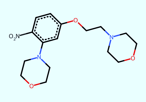 O=[N+]([O-])c1ccc(OCCN2CCOCC2)cc1N1CCOCC1